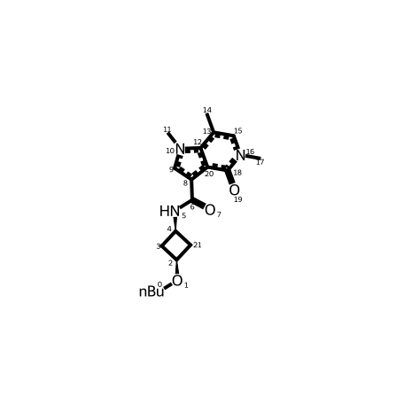 CCCCO[C@H]1C[C@@H](NC(=O)c2cn(C)c3c(C)cn(C)c(=O)c23)C1